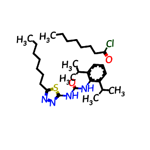 CCCCCCCC(=O)Cl.CCCCCCCc1nnc(NC(=O)Nc2c(C(C)C)cccc2C(C)C)s1